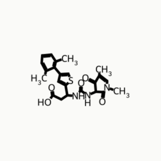 CC1=CN(C)C(=O)C(NC(=O)NC(CC(=O)O)c2cc(-c3c(C)cccc3C)cs2)C1=O